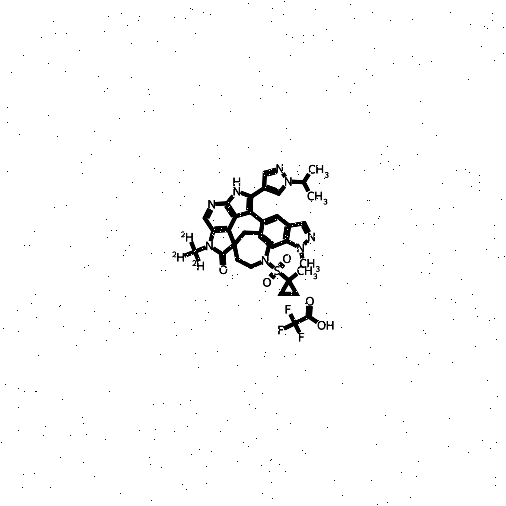 O=C(O)C(F)(F)F.[2H]C([2H])([2H])N1C(=O)C2(CCCN(S(=O)(=O)C3(C)CC3)CC2)c2c1cnc1[nH]c(-c3cnn(C(C)C)c3)c(-c3ccc4c(cnn4C)c3)c21